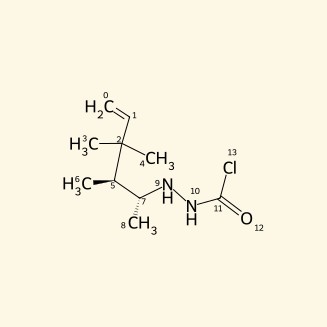 C=CC(C)(C)[C@H](C)[C@@H](C)NNC(=O)Cl